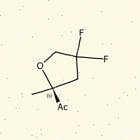 CC(=O)[C@]1(C)CC(F)(F)CO1